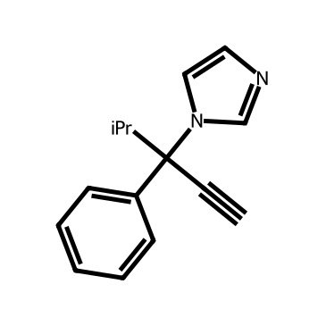 C#CC(c1ccccc1)(C(C)C)n1ccnc1